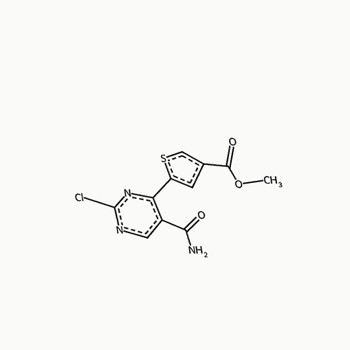 COC(=O)c1csc(-c2nc(Cl)ncc2C(N)=O)c1